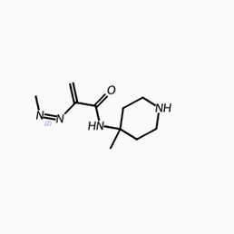 C=C(/N=N\C)C(=O)NC1(C)CCNCC1